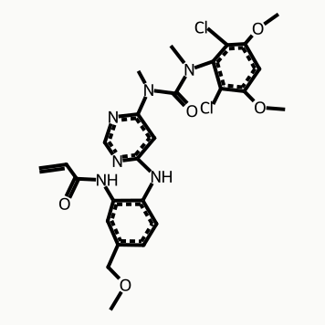 C=CC(=O)Nc1cc(COC)ccc1Nc1cc(N(C)C(=O)N(C)c2c(Cl)c(OC)cc(OC)c2Cl)ncn1